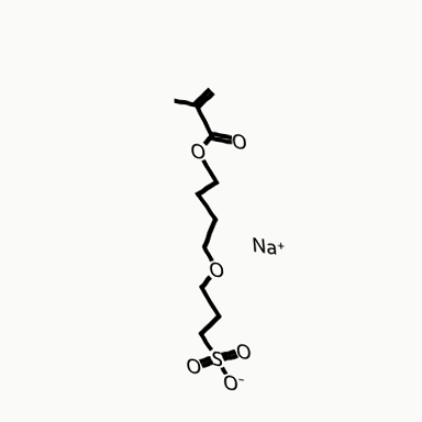 C=C(C)C(=O)OCCCCOCCCS(=O)(=O)[O-].[Na+]